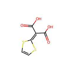 O=C(O)C(C(=O)O)=C1SC=CS1